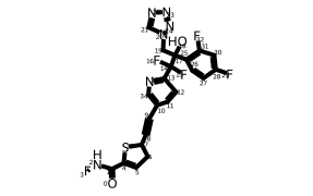 O=C(NF)C1=CCC(C#Cc2ccc(C(F)(F)C(O)(Cn3cnnn3)c3ccc(F)cc3F)nc2)S1